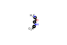 CN1CCC(C(=O)c2cccc(Nc3ccc([N+](=O)[O-])cc3)c2)CC1